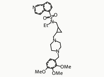 CCN(CC1CC1CN1CCN(Cc2ccc(OC)c(OC)c2OC)CC1)S(=O)(=O)c1cccc2cnccc12